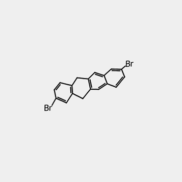 Brc1ccc2c(c1)Cc1cc3ccc(Br)cc3cc1C2